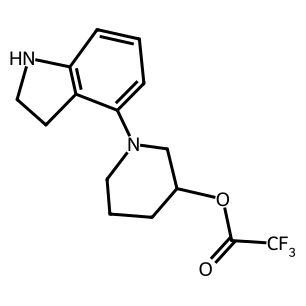 O=C(OC1CCCN(c2cccc3c2CCN3)C1)C(F)(F)F